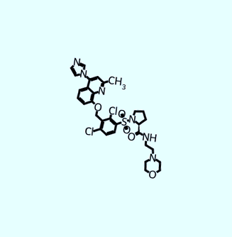 Cc1cc(-n2ccnc2)c2cccc(OCc3c(Cl)ccc(S(=O)(=O)N4CCC[C@H]4C(=O)NCCN4CCOCC4)c3Cl)c2n1